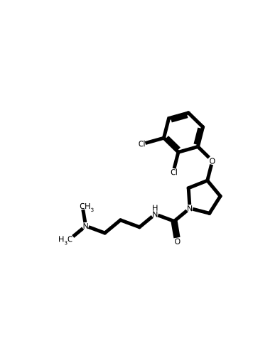 CN(C)CCCNC(=O)N1CCC(Oc2cccc(Cl)c2Cl)C1